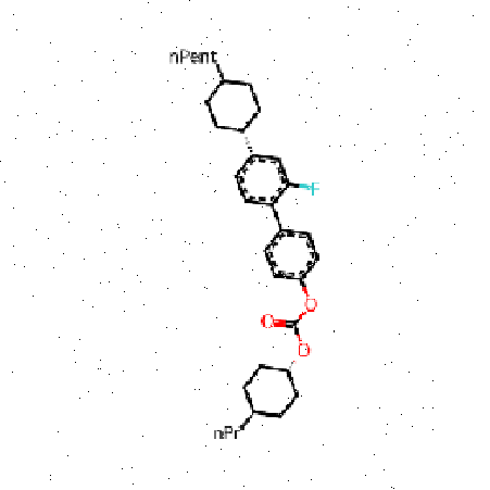 CCCCC[C@H]1CC[C@H](c2ccc(-c3ccc(OC(=O)O[C@H]4CC[C@H](CCC)CC4)cc3)c(F)c2)CC1